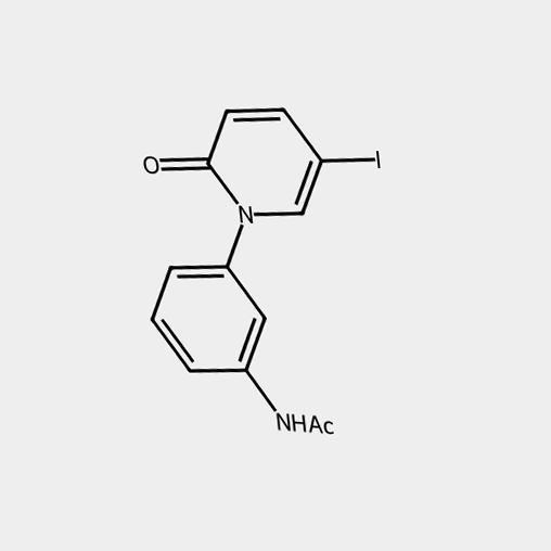 CC(=O)Nc1cccc(-n2cc(I)ccc2=O)c1